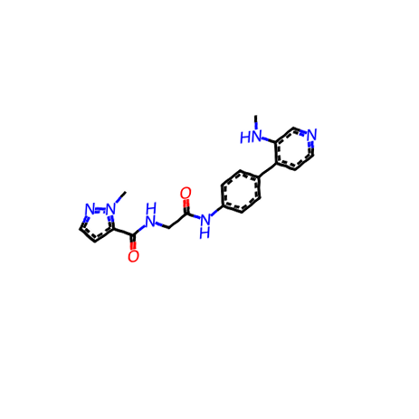 CNc1cnccc1-c1ccc(NC(=O)CNC(=O)c2ccnn2C)cc1